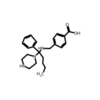 CCCCC(NCc1ccc(C(=O)O)cc1)(c1ccccc1)N1CCNCC1